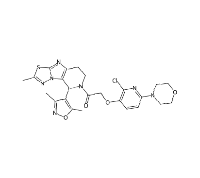 Cc1nn2c3c(nc2s1)CCN(C(=O)COc1ccc(N2CCOCC2)nc1Cl)C3c1c(C)noc1C